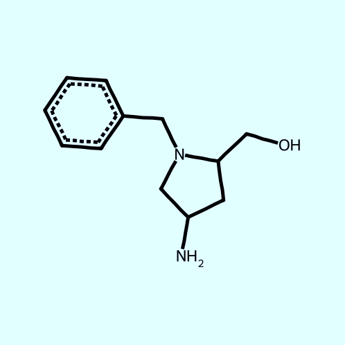 NC1CC(CO)N(Cc2ccccc2)C1